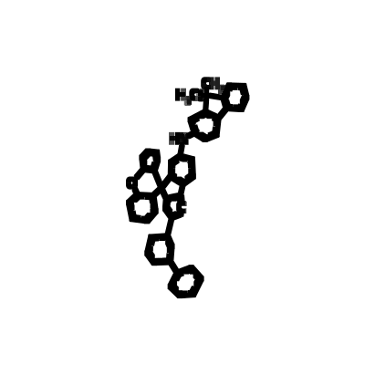 C[Si]1(C)c2ccccc2-c2ccc(Nc3ccc4c(c3)C3(c5ccccc5Oc5ccccc53)c3cc(-c5cccc(-c6ccccc6)c5)ccc3-4)cc21